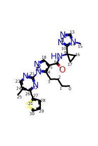 CCCCc1c(C(=O)NC2(c3nncn3C)CC2)cnn1-c1ncc(C)c(-c2cccs2)n1